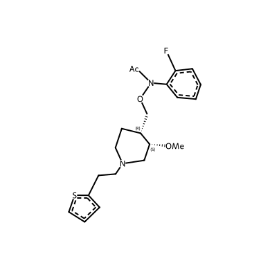 CO[C@@H]1CN(CCc2cccs2)CC[C@@H]1CON(C(C)=O)c1ccccc1F